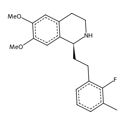 COc1cc2c(cc1OC)[C@H](CCc1cccc(C)c1F)NCC2